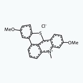 COc1ccc2c(c1)-c1cccc3c1c(c1ccc(OC)cc1[n+]3C)S2.[Cl-]